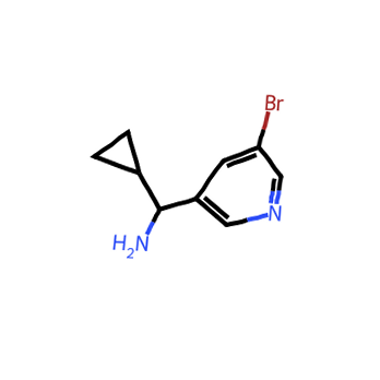 NC(c1cncc(Br)c1)C1CC1